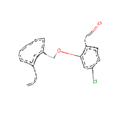 C=Cc1ccccc1COc1cc(Cl)ccc1C=O